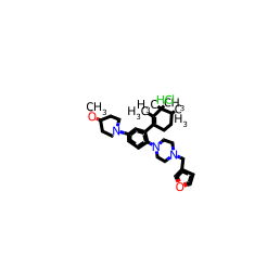 COC1CCN(c2ccc(N3CCN(Cc4ccoc4)CC3)c(C3=C(C)C(C)(C)C(C)CC3)c2)CC1.Cl